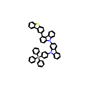 c1ccc([Si](c2ccccc2)(c2ccccc2)c2ccc(-n3c4ccccc4c4ccc(-n5c6ccccc6c6c(-c7ccc8sc9ccccc9c8c7)cccc65)cc43)cc2)cc1